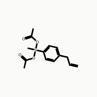 C=CCc1ccc([Si](C)(OC(C)=O)OC(C)=O)cc1